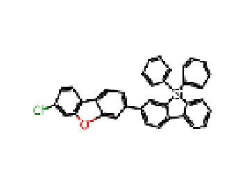 Clc1ccc2c(c1)oc1cc(-c3ccc4c(c3)[Si](c3ccccc3)(c3ccccc3)c3ccccc3-4)ccc12